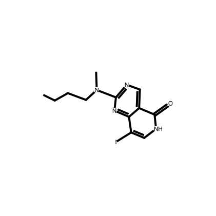 CCCCN(C)c1ncc2c(=O)[nH]cc(I)c2n1